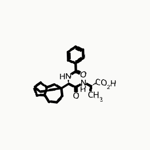 C[C@H](NC(=O)[C@@H](NC(=O)c1ccccc1)C12CCCC3CC(CC3C1)C2)C(=O)O